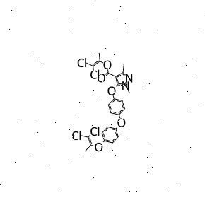 CC(OC(=O)c1c(C)nn(C)c1Oc1ccc(Oc2ccc(OC(C)=C(Cl)Cl)cc2)cc1)=C(Cl)Cl